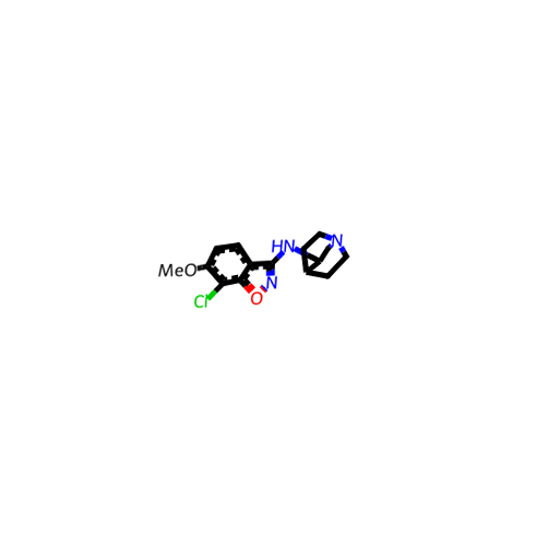 COc1ccc2c(NC3CN4CCC3CC4)noc2c1Cl